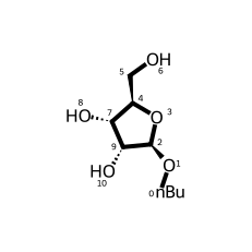 CCCCO[C@@H]1O[C@H](CO)[C@@H](O)[C@H]1O